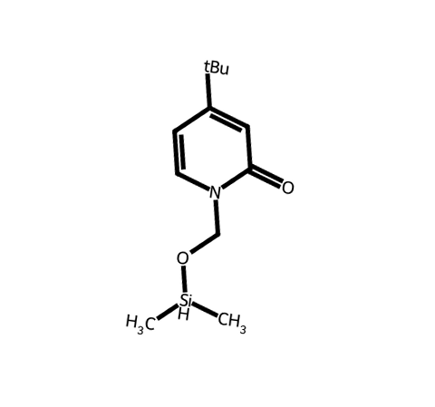 C[SiH](C)OCn1ccc(C(C)(C)C)cc1=O